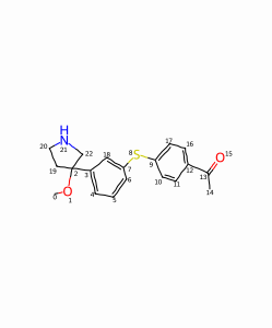 COC1(c2cccc(Sc3ccc(C(C)=O)cc3)c2)CCNC1